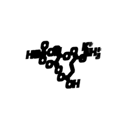 O=C([O-])C(=O)[O-].[K+].[NH3+]OC(=O)CCC(=O)O.[O]=[Mo](=[O])([OH])[OH]